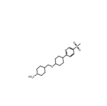 CS(=O)(=O)c1ccc(C2CCC(OCC3CCN(C(=O)O)CC3)CC2)nc1